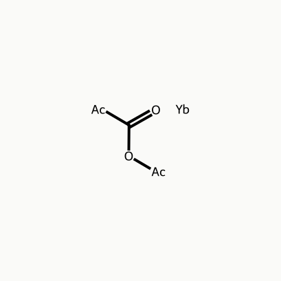 CC(=O)OC(=O)C(C)=O.[Yb]